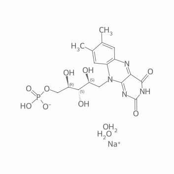 Cc1cc2nc3c(=O)[nH]c(=O)nc-3n(C[C@H](O)[C@H](O)[C@H](O)COP(=O)([O-])O)c2cc1C.O.O.[Na+]